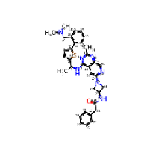 Cc1nc(NC(C)c2ccc(-c3ccccc3CN(C)C)s2)c2cc(N3CC(NC(=O)Cc4ccccc4)C3)ncc2n1